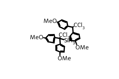 COc1ccc(C([SiH3])(c2ccc(OC)cc2)C(Cl)(Cl)Cl)cc1.COc1ccc(C(c2ccc(OC)cc2)C(Cl)(Cl)Cl)cc1